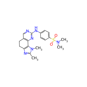 Cc1nc2c(n1C)-c1nc(Nc3ccc(S(=O)(=O)N(C)C)cc3)ncc1CC2